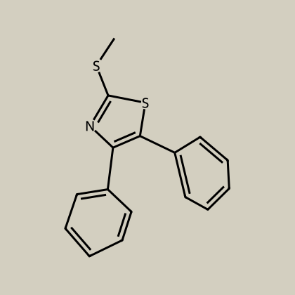 CSc1nc(-c2ccccc2)c(-c2ccccc2)s1